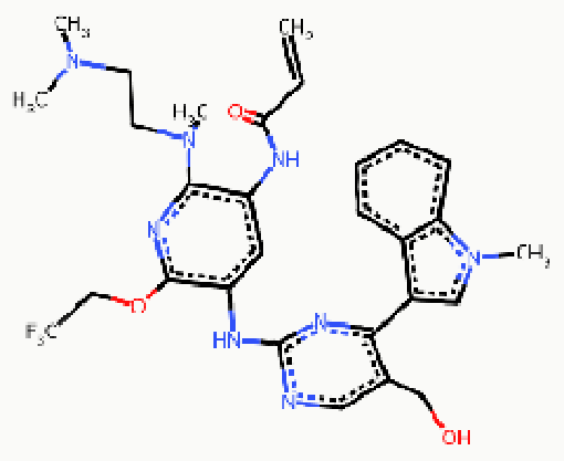 C=CC(=O)Nc1cc(Nc2ncc(CO)c(-c3cn(C)c4ccccc34)n2)c(OCC(F)(F)F)nc1N(C)CCN(C)C